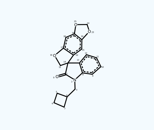 O=C1N(CC2CCC2)c2ccccc2C12COc1cc3c(cc12)OCO3